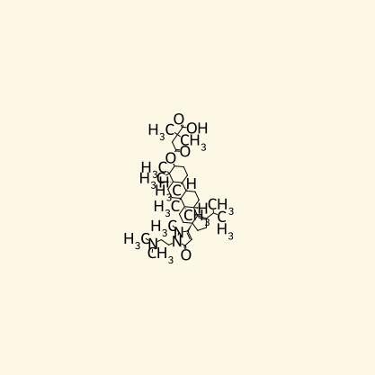 CC(C)C1=C2[C@H]3CC[C@H]4C(C)(CC[C@H]5C(C)(C)[C@@H](OC(=O)CC(C)(C)C(=O)O)CC[C@@]54C)[C@]3(C)CC[C@@]2(c2cc(=O)n(CCN(C)C)n2C)CC1